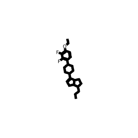 CCCC1CCC2C(C3CCC(c4ccc(OCC)c(F)c4F)CC3)=CCC12